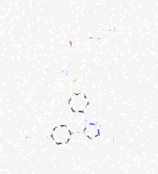 CC(=O)N(COC(=O)OCCO[N+](=O)[O-])S(=O)(=O)c1ccc(-n2nc(C(F)(F)F)cc2-c2ccc(C)cc2)cc1